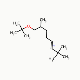 CC(CC/C=C/C(C)(C)C)COC(C)(C)C